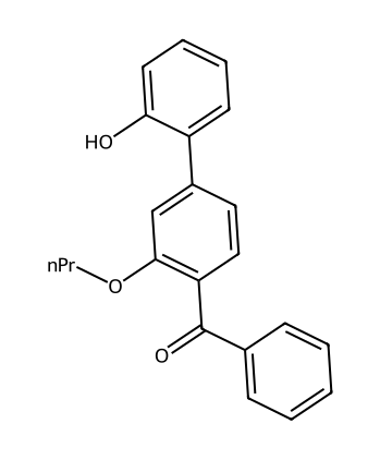 CCCOc1cc(-c2ccccc2O)ccc1C(=O)c1ccccc1